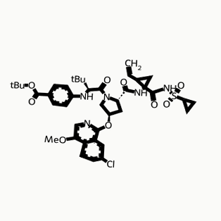 C=CC1CC1(NC(=O)[C@@H]1C[C@@H](Oc2ncc(OC)c3ccc(Cl)cc23)CN1C(=O)[C@@H](Nc1ccc(C(=O)OC(C)(C)C)cc1)C(C)(C)C)C(=O)NS(=O)(=O)C1CC1